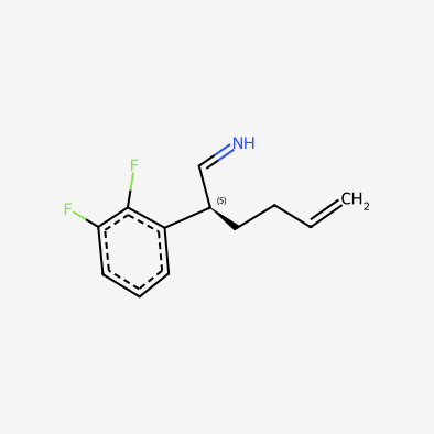 C=CCC[C@H](C=N)c1cccc(F)c1F